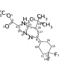 COC(=O)c1cn2nc(C3CCC(F)(F)CC3)cc(C(C)(C)C)c2n1